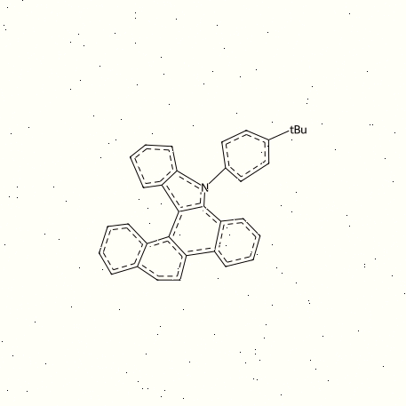 CC(C)(C)c1ccc(-n2c3ccccc3c3c4c5ccccc5ccc4c4ccccc4c32)cc1